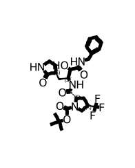 CC(C)(C)OC(=O)N1C[C@H](C(F)(F)F)C[C@H]1C(=O)N[C@@H](C[C@@H]1CCNC1=O)C(O)C(=O)NCc1ccccc1